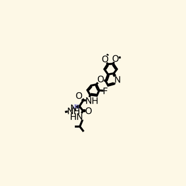 CN/N=C(\C(=O)NCC(C)C)C(=O)Nc1ccc(Oc2ccnc3cc(OC)c(OC)cc23)c(F)c1